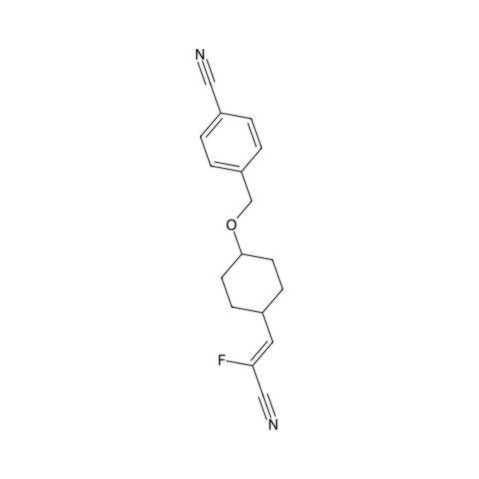 N#CC(F)=CC1CCC(OCc2ccc(C#N)cc2)CC1